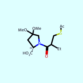 CCC(CSC(C)=O)C(=O)N1CC(OC)(OC)C[C@H]1C(=O)O